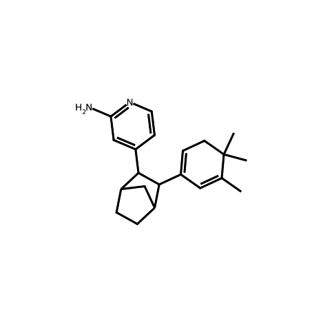 CC1=CC(C2C3CCC(C3)C2c2ccnc(N)c2)=CCC1(C)C